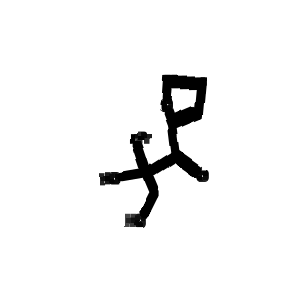 CCCC(O)(CO)C(=O)c1ccco1